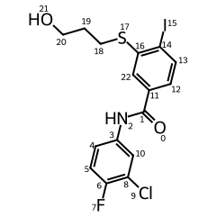 O=C(Nc1ccc(F)c(Cl)c1)c1ccc(I)c(SCCCO)c1